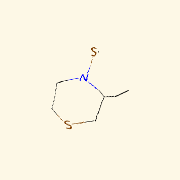 CC1CSCCN1[S]